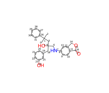 CC(C)(CC(O)(CNc1ccc2c(c1)COC2=O)Cc1cccc(O)c1)c1ccccc1